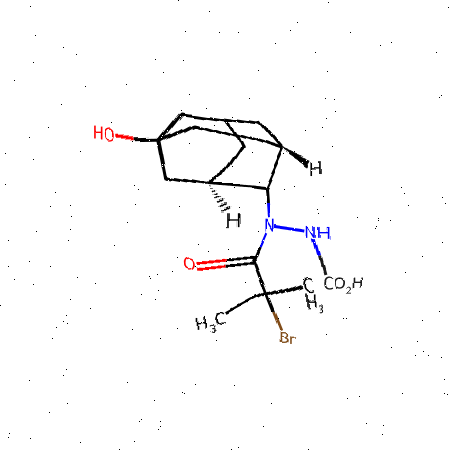 CC(C)(Br)C(=O)N(NC(=O)O)C1[C@@H]2CC3C[C@H]1CC(O)(C3)C2